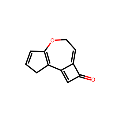 O=C1C=C2C1=CCOC1=C2CC=C1